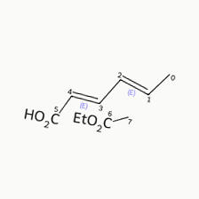 C/C=C/C=C/C(=O)O.CCOC(C)=O